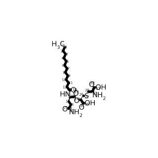 CCCCCCCCCCCCCC(=O)N[C@H](CCC(N)=O)C(=O)O[C@H](CSC[C@H](N)C(=O)O)C(=O)O